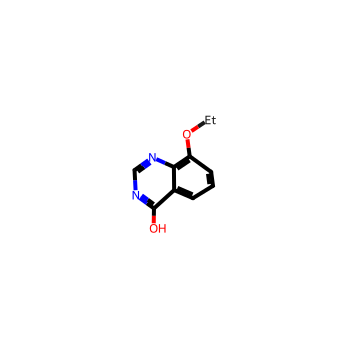 CCOc1cccc2c(O)ncnc12